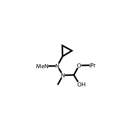 CNN(C1CC1)N(C)C(O)OC(C)C